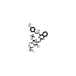 COc1ccc(CNc2nc(CNC(=O)[C@H](CC(N)=O)NC(=O)OC(C)(C)C)nc3ccccc23)cc1